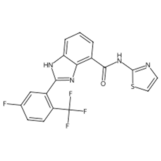 O=C(Nc1nccs1)c1cccc2[nH]c(-c3cc(F)ccc3C(F)(F)F)nc12